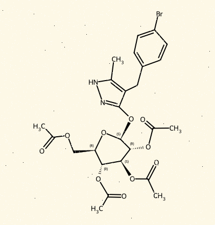 CC(=O)OC[C@H]1O[C@@H](Oc2n[nH]c(C)c2Cc2ccc(Br)cc2)[C@H](OC(C)=O)[C@@H](OC(C)=O)[C@@H]1OC(C)=O